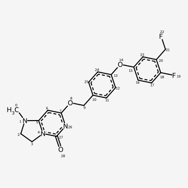 CN1CCn2c1cc(OCc1ccc(Oc3ccc(F)c(CF)c3)cc1)nc2=O